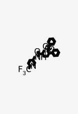 O=C(NCc1ccc(C(F)(F)F)nc1)C1CCC(c2ccccc2)N(S(=O)(=O)c2ccccc2)C1